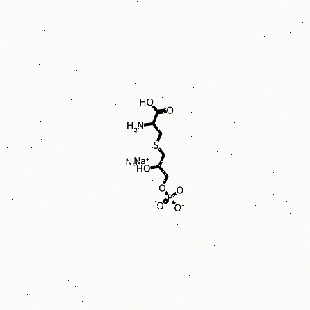 NC(CSCC(O)COP(=O)([O-])[O-])C(=O)O.[Na+].[Na+]